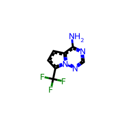 Nc1ncnn2c(C(F)(F)F)ccc12